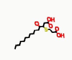 CCCCCCCCCCCC(=O)C(CC(=O)O)SCCC(=O)O